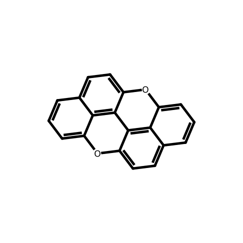 c1cc2ccc3oc4cccc5ccc6oc(c1)c2c3-c6c54